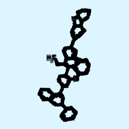 CCc1c2c3c(cccc3c3cc(-c4ccc5c(c4)oc4ccccc45)ccc13)Oc1cc(-c3cc(-c4ccccc4)cc4ccccc34)ccc1-2